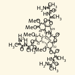 COc1cc(-c2c3c4cc(OC)c(OC(=O)[C@H](C)NC(=O)[C@H](C)N)cc4oc(=O)c3n3ccc4c(OC(=O)[C@H](C)NC(=O)[C@H](C)N)c(OC)c(OC)cc4c23)ccc1OC(=O)[C@H](C)NC(=O)[C@H](C)N